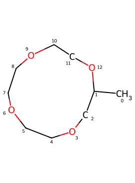 CC1COCCOCCOCCO1